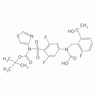 C[C@@H](O)c1cccc(F)c1CN(C(=O)O)c1cc(F)c(S(=O)(=O)N(C(=O)OC(C)(C)C)c2cscn2)c(F)c1